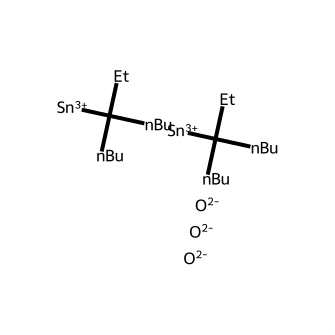 CCCC[C]([Sn+3])(CC)CCCC.CCCC[C]([Sn+3])(CC)CCCC.[O-2].[O-2].[O-2]